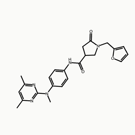 Cc1cc(C)nc(N(C)c2ccc(NC(=O)C3CC(=O)N(Cc4ccco4)C3)cc2)n1